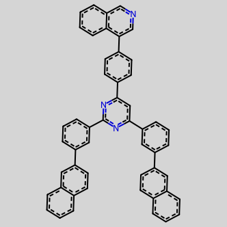 c1cc(-c2ccc3ccccc3c2)cc(-c2cc(-c3ccc(-c4cncc5ccccc45)cc3)nc(-c3cccc(-c4ccc5ccccc5c4)c3)n2)c1